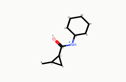 CC1CC1C(=O)NC1CCCCC1